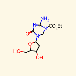 CCOC(=O)N1CN(C2CC(O)C(CO)O2)C(=O)N=C1N